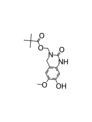 COc1cc2c(cc1O)NC(=O)N(COC(=O)C(C)(C)C)C2